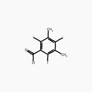 Cc1c(I)c(C)c(I)c(C(=O)Cl)c1I